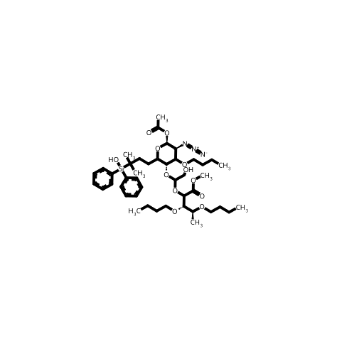 CCCCOC1[C@H](OC(CO)OC(C(=O)OC)[C@@H](OCCCC)[C@H](C)OCCCC)C(CCC(C)(C)[Si](O)(c2ccccc2)c2ccccc2)O[C@@H](OC(C)=O)[C@H]1N=[N+]=[N-]